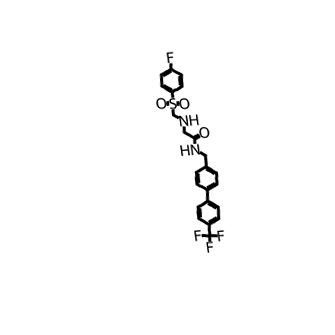 O=C(CNCS(=O)(=O)c1ccc(F)cc1)NCc1ccc(-c2ccc(C(F)(F)F)cc2)cc1